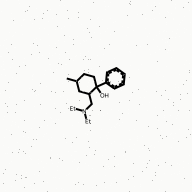 CCN(CC)CC1CC(C)CCC1(O)c1ccccc1